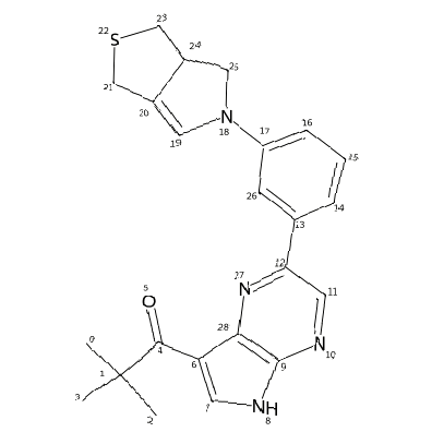 CC(C)(C)C(=O)c1c[nH]c2ncc(-c3cccc(N4C=C5CSCC5C4)c3)nc12